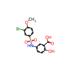 COc1ccc(S(=O)(=O)Nc2ccc(O)c(C(=O)O)c2)cc1Br